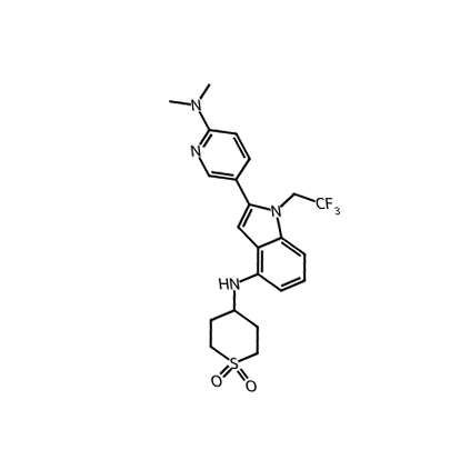 CN(C)c1ccc(-c2cc3c(NC4CCS(=O)(=O)CC4)cccc3n2CC(F)(F)F)cn1